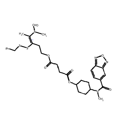 C/C(=C(/CCOC(=O)CCC(=O)OC1CCC(N(C)C(=O)c2ccc3nonc3c2)CC1)SSCC(C)C)N(C)C=O